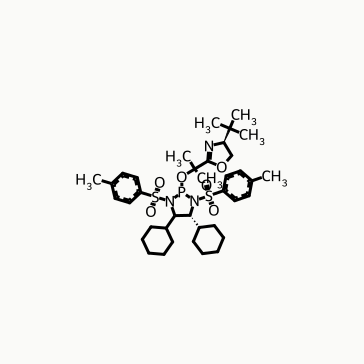 Cc1ccc(S(=O)(=O)N2C(C3CCCCC3)[C@@H](C3CCCCC3)N(S(=O)(=O)c3ccc(C)cc3)P2OC(C)(C)C2=N[C@@H](C(C)(C)C)CO2)cc1